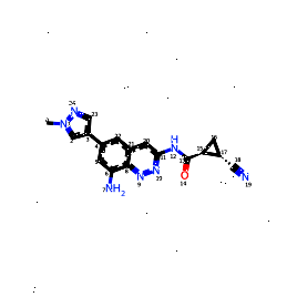 Cn1cc(-c2cc(N)c3nnc(NC(=O)[C@H]4C[C@@H]4C#N)cc3c2)cn1